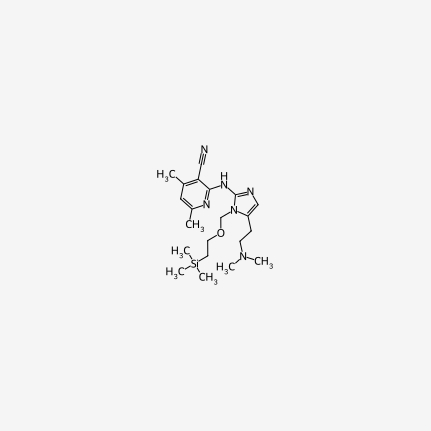 Cc1cc(C)c(C#N)c(Nc2ncc(CCN(C)C)n2COCC[Si](C)(C)C)n1